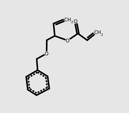 C=CC(=O)OC(C=C)COCc1ccccc1